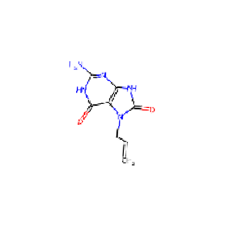 C=CCn1c(=O)[nH]c2nc(N)[nH]c(=O)c21